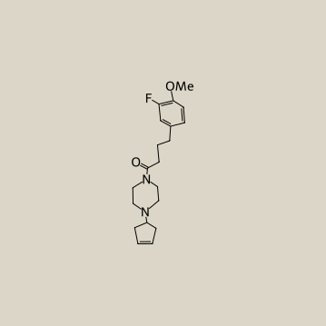 COc1ccc(CCCC(=O)N2CCN(C3CC=CC3)CC2)cc1F